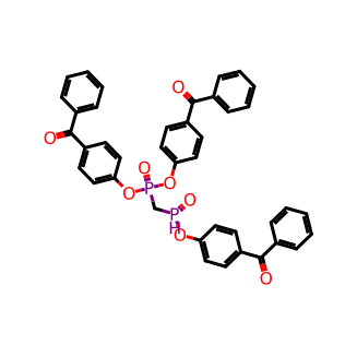 O=C(c1ccccc1)c1ccc(O[PH](=O)CP(=O)(Oc2ccc(C(=O)c3ccccc3)cc2)Oc2ccc(C(=O)c3ccccc3)cc2)cc1